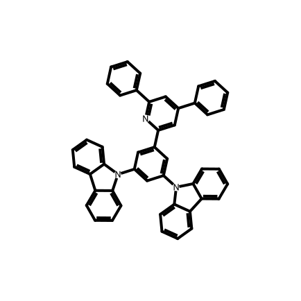 c1ccc(-c2cc(-c3ccccc3)nc(-c3cc(-n4c5ccccc5c5ccccc54)cc(-n4c5ccccc5c5ccccc54)c3)c2)cc1